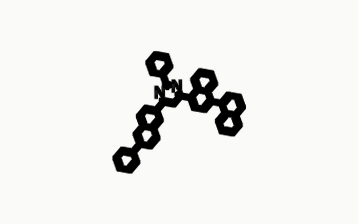 c1ccc(-c2ccc3cc(-c4cc(-c5ccc(-c6cccc7ccccc67)c6ccccc56)nc(-c5ccccc5)n4)ccc3c2)cc1